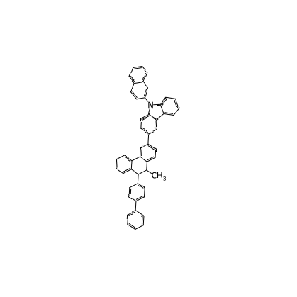 CC1c2ccc(-c3ccc4c(c3)c3ccccc3n4-c3ccc4ccccc4c3)cc2-c2ccccc2C1c1ccc(-c2ccccc2)cc1